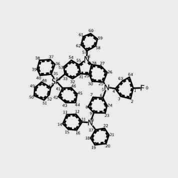 Fc1ccc(N(c2ccc(N(c3ccccc3)c3ccccc3)cc2)c2ccc3c(c2)c2cc([Si](c4ccccc4)(c4ccccc4)c4ccccc4)ccc2n3-c2ccccc2)cc1